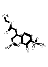 CCOC(=O)CC(C[N+](=O)[O-])c1ccc(S(C)(=O)=O)c(Cl)c1